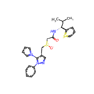 CC(C)[C@@H](NC(=O)C[S@@+]([O-])Cc1cnn(-c2ccccc2)c1-n1cccc1)c1cccs1